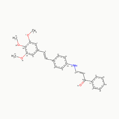 COc1cc(C=Cc2ccc(NC=CC(=O)c3ccccc3)cc2)cc(OC)c1OC